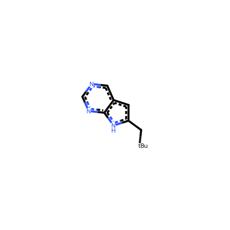 CC(C)(C)Cc1cc2cncnc2[nH]1